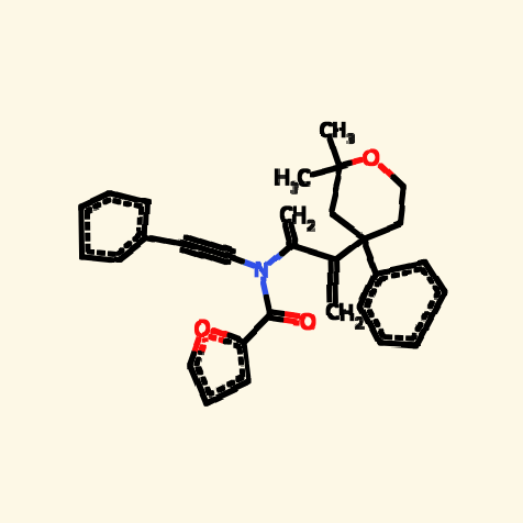 C=C(C(=C)C1(c2ccccc2)CCOC(C)(C)C1)N(C#Cc1ccccc1)C(=O)c1ccco1